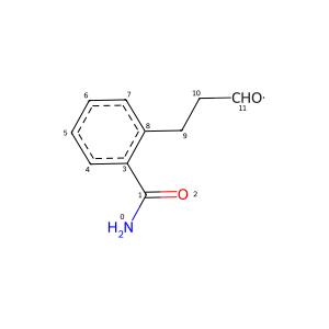 NC(=O)c1ccccc1CC[C]=O